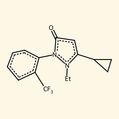 CCn1c(C2CC2)cc(=O)n1-c1ccccc1C(F)(F)F